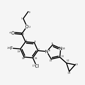 CCOC(=O)c1cc(-n2cnc(C3CC3)c2)c(Cl)cc1F